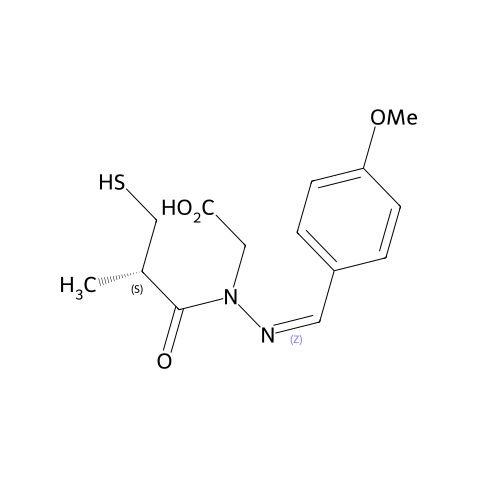 COc1ccc(/C=N\N(CC(=O)O)C(=O)[C@H](C)CS)cc1